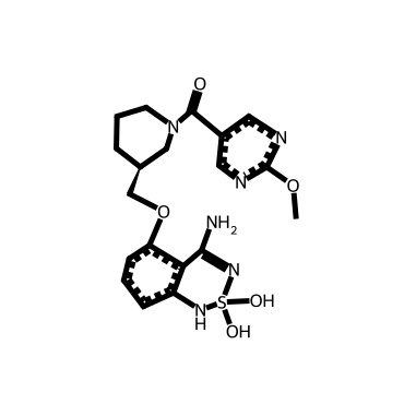 COc1ncc(C(=O)N2CCC[C@H](COc3cccc4c3C(N)=NS(O)(O)N4)C2)cn1